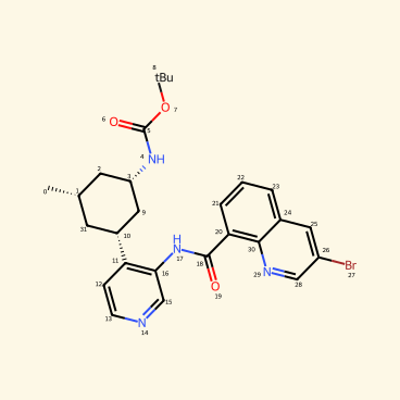 C[C@@H]1C[C@H](NC(=O)OC(C)(C)C)C[C@H](c2ccncc2NC(=O)c2cccc3cc(Br)cnc23)C1